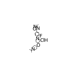 Cc1noc(-c2ccc(N3CCC(OC4CCN(C(C)C)CC4)CC3)c(F)c2)n1.Cl